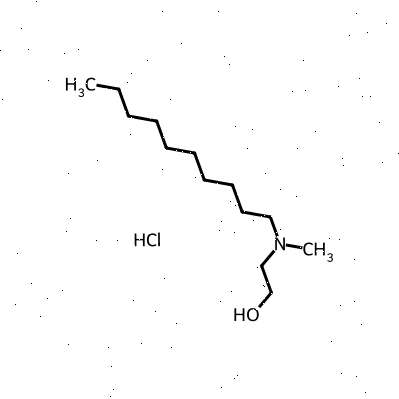 CCCCCCCCCCN(C)CCO.Cl